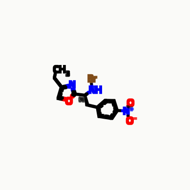 CCc1coc([C@H](Cc2ccc([N+](=O)[O-])cc2)NBr)n1